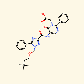 C[Si](C)(C)CCOCn1nc(C(=O)Nc2cnc(-c3ccccc3)n(CC(=O)O)c2=O)nc1-c1ccccc1